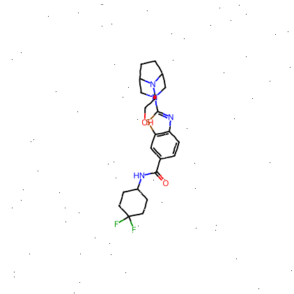 O=C(NC1CCC(F)(F)CC1)c1ccc2nc(N3CC4CCC(C3)N4CCO)sc2c1